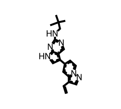 C=Cc1cnn2ccc(-c3c[nH]c4nc(NCC(C)(C)C)ncc34)cc12